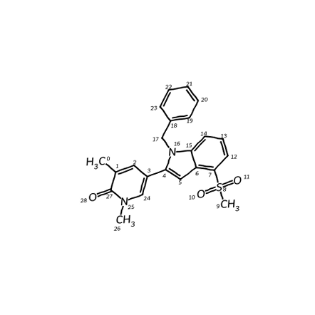 Cc1cc(-c2cc3c(S(C)(=O)=O)cccc3n2Cc2ccccc2)cn(C)c1=O